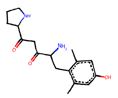 Cc1cc(O)cc(C)c1CC(N)C(=O)CC(=O)C1CCCN1